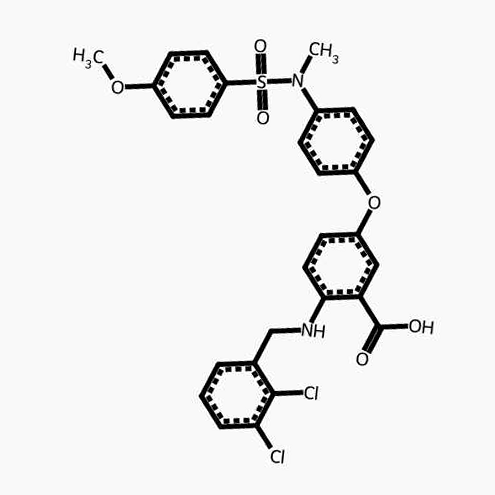 COc1ccc(S(=O)(=O)N(C)c2ccc(Oc3ccc(NCc4cccc(Cl)c4Cl)c(C(=O)O)c3)cc2)cc1